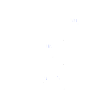 Cc1nn(C)cc1NCCN